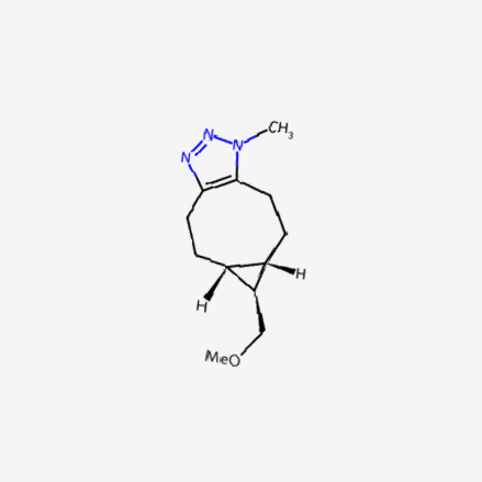 COC[C@H]1[C@@H]2CCc3nnn(C)c3CC[C@@H]21